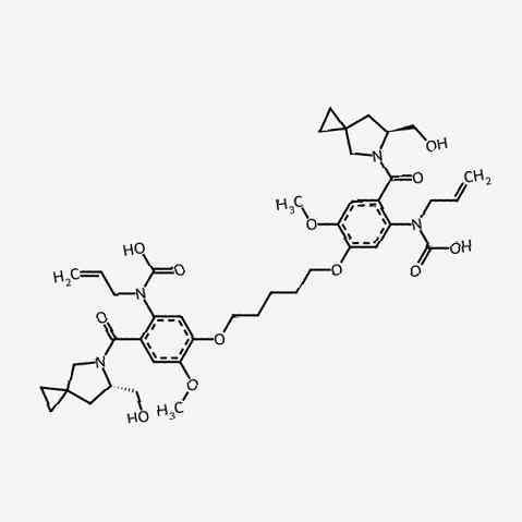 C=CCN(C(=O)O)c1cc(OCCCCCOc2cc(N(CC=C)C(=O)O)c(C(=O)N3CC4(CC4)C[C@H]3CO)cc2OC)c(OC)cc1C(=O)N1CC2(CC2)C[C@H]1CO